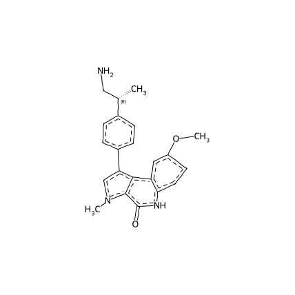 COc1ccc2[nH]c(=O)c3c(c(-c4ccc([C@@H](C)CN)cc4)cn3C)c2c1